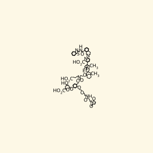 CCC1(Cn2ncc(-c3ccc(N4CCc5cccc(C(=O)Nc6nc7ccccc7s6)c5C4)nc3C(=O)O)c2C)CC2(C)CCCC(OCCN(CCCC(=O)O)C(=O)OCc3ccc(O[C@H]4C[C@@H](O)C[C@@H](C(=O)O)O4)cc3OCCOCCNC(=O)CCN3C(=O)C=CC3=O)(C2)C1